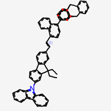 CCC1(CC)c2cc(/C=C/c3ccc(-c4ccc5c(c4)C4c6ccccc6C5c5ccccc54)c4ccccc34)ccc2-c2ccc(-n3c4ccccc4c4ccccc43)cc21